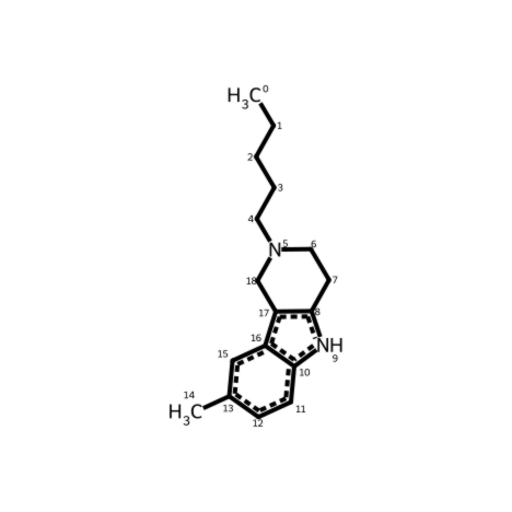 CCCCCN1CCc2[nH]c3ccc(C)cc3c2C1